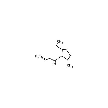 C=CCNC1C(C)CCC1CC